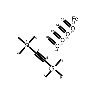 C[Si](C)(C)C#C[Si](C)(C)C.[C]=O.[C]=O.[C]=O.[C]=O.[Fe]